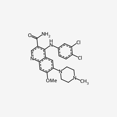 COc1cc2ncc(C(N)=O)c(Nc3ccc(Cl)c(Cl)c3)c2cc1N1CCN(C)CC1